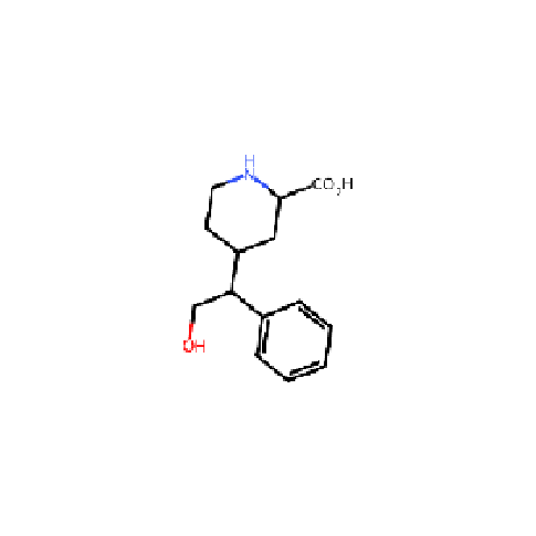 O=C(O)C1CC(C(CO)c2ccccc2)CCN1